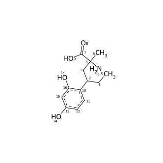 CCC(CC(C)(N)C(=O)O)c1ccc(O)cc1O